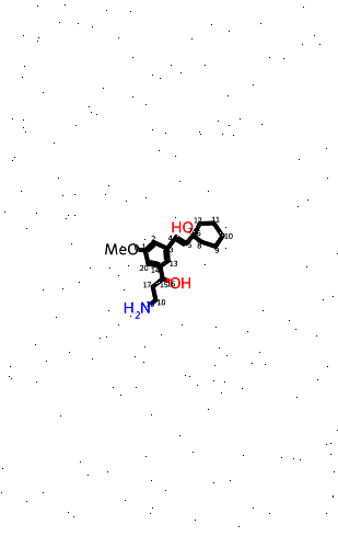 COc1cc(C=CC2(O)CCCCC2)cc(C(O)CCN)c1